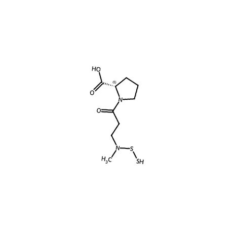 CN(CCC(=O)N1CCC[C@H]1C(=O)O)SS